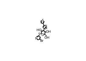 OC[C@H]1O[C@H](Sc2cncc(Br)c2)[C@H](O)[C@@H](n2cc(-c3ccsc3)nn2)[C@H]1O